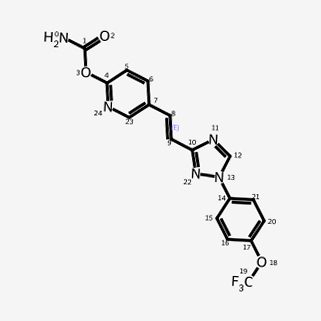 NC(=O)Oc1ccc(/C=C/c2ncn(-c3ccc(OC(F)(F)F)cc3)n2)cn1